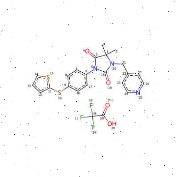 CC1(C)C(=O)N(c2ccc(Sc3cccs3)cc2)C(=O)N1Cc1ccncc1.O=C(O)C(F)(F)F